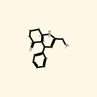 CC(C)CC1=CC(c2ccccc2)C2=C(CCCC2=O)N1